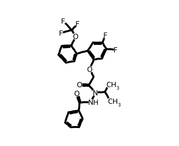 CC(C)N(NC(=O)c1ccccc1)C(=O)COc1cc(F)c(F)cc1-c1ccccc1OC(F)(F)F